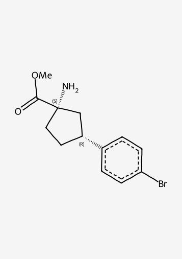 COC(=O)[C@]1(N)CC[C@@H](c2ccc(Br)cc2)C1